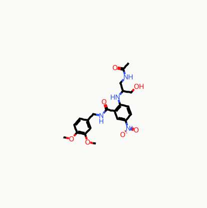 COc1ccc(CNC(=O)c2cc([N+](=O)[O-])ccc2NC(CO)CNC(C)=O)cc1OC